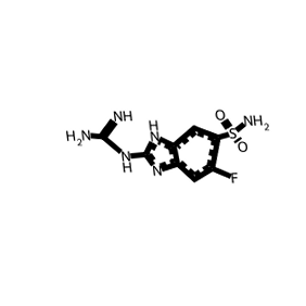 N=C(N)Nc1nc2cc(F)c(S(N)(=O)=O)cc2[nH]1